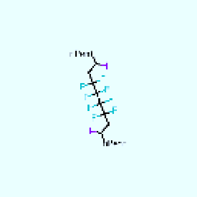 CCCCCC(I)CC(F)(F)C(F)(F)C(F)(F)C(F)(F)CC(I)CCCCC